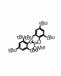 COP(Oc1c(C(C)(C)C)cc(C(C)(C)C)cc1C(C)(C)C)Oc1c(C(C)(C)C)cc(C(C)(C)C)cc1C(C)(C)C